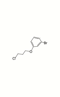 ClCCCOc1cc[c]c(Br)c1